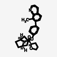 Cc1c(-c2ccc(O[C@H]3C[C@H]4CC[C@@H](C3)N4C(=O)[C@H]3CCCO3)cc2)ccc2cccnc12